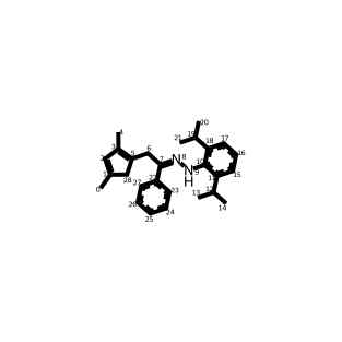 CC1=CC(C)=C(CC(=NNc2c(C(C)C)cccc2C(C)C)c2ccccc2)C1